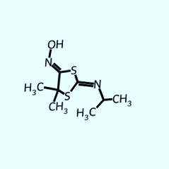 CC(C)N=C1SC(=NO)C(C)(C)S1